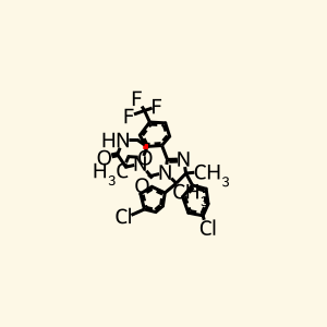 CCOc1cc(C(F)(F)F)ccc1C1=NC(C)(c2ccc(Cl)cc2)C(C)(c2ccc(Cl)cc2)N1C(=O)N1CCNC(=O)C1